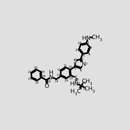 CNc1ccc(-c2ncc(-c3ccc(CNC(=O)c4ccccc4)cc3SNC(C)(C)C)s2)cc1